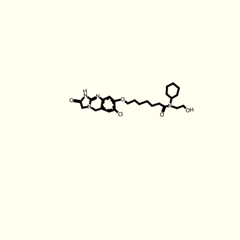 O=C1CN2Cc3cc(Cl)c(OCCCCCCC(=O)N(CCO)C4CCCCC4)cc3N=C2N1